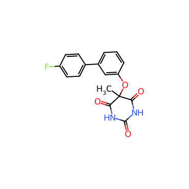 CC1(Oc2cccc(-c3ccc(F)cc3)c2)C(=O)NC(=O)NC1=O